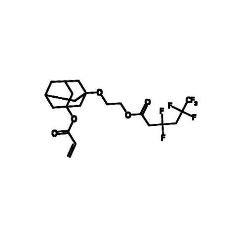 C=CC(=O)OC12CC3CC(CC(OCCOC(=O)CC(F)(F)CC(F)(F)C(F)(F)F)(C3)C1)C2